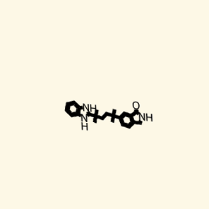 CC(C)(CCC(C)(C)C1Nc2ccccc2N1)c1ccc2c(c1)C(=O)NC2